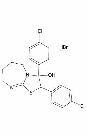 Br.OC1(c2ccc(Cl)cc2)C(c2ccc(Cl)cc2)SC2=NCCCCN21